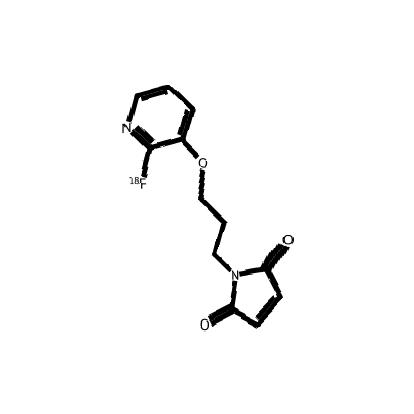 O=C1C=CC(=O)N1CCCOc1cccnc1[18F]